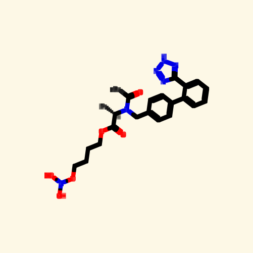 CCCCC(=O)N(Cc1ccc(-c2ccccc2-c2nn[nH]n2)cc1)[C@H](C(=O)OCCCCON(O)O)C(C)C